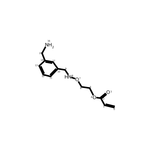 C=CC(=O)OCCONCc1cccc(CN)c1